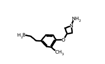 BCCc1ccc(OC2CN(N)C2)c(C)c1